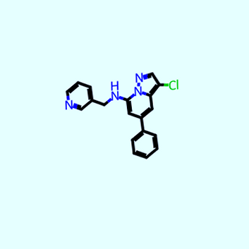 Clc1cnn2c(NCc3cccnc3)cc(-c3ccccc3)cc12